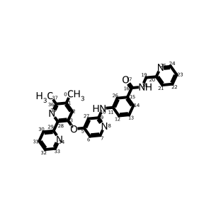 Cc1cc(Oc2ccnc(Nc3cccc(C(=O)NCc4ccccn4)c3)c2)c(-c2ccccn2)nc1C